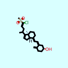 C=C1CC[C@H](O)C/C1=C/C=C1\CCC[C@]2(C)C(C(C)C/C=C(\Cl)S(C)(=O)=O)=CC[C@@H]12